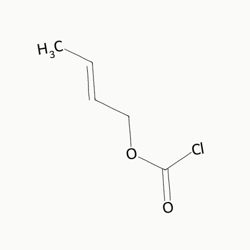 C/C=C/COC(=O)Cl